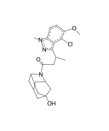 COc1ccc2c(c(C(C)CC(=O)N3C4CC5CC3CC(O)(C5)C4)nn2C)c1Cl